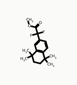 COC(=O)C(F)(F)c1ccc2c(c1)C(C)(C)CCC2(C)C